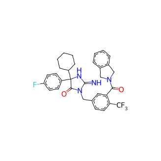 N=C1NC(c2ccc(F)cc2)(C2CCCCC2)C(=O)N1Cc1ccc(C(F)(F)F)c(C(=O)N2Cc3ccccc3C2)c1